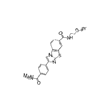 CNC(=O)c1ccc(-c2cn3c(n2)sc2cc(C(=O)NCCOC(C)C)ccc23)cc1